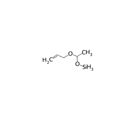 C=CCOC(C)O[SiH3]